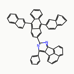 c1ccc(-c2nc(-c3ccc4c(-c5ccc6ccccc6c5)c5ccccc5c(-c5ccc6ccccc6c5)c4c3)nc3c2-c2cccc4cccc-3c24)cc1